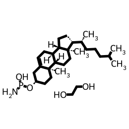 CC(C)CCC[C@@H](C)[C@H]1CC[C@H]2[C@@H]3CC=C4C[C@@H](OP(N)O)CC[C@]4(C)[C@H]3CC[C@]12C.OCCO